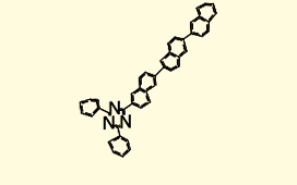 c1ccc(-c2nc(-c3ccccc3)nc(-c3ccc4cc(-c5ccc6cc(-c7ccc8ccccc8c7)ccc6c5)ccc4c3)n2)cc1